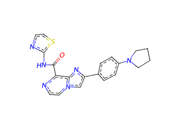 O=C(Nc1nccs1)c1nccn2cc(-c3ccc(N4CCCC4)cc3)nc12